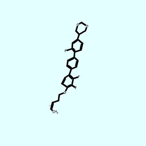 C/C=C\CCOc1ccc(-c2ccc(-c3ccc(C4COCOC4)cc3F)cc2)c(F)c1F